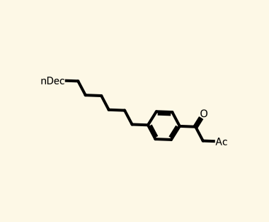 CCCCCCCCCCCCCCCCc1ccc(C(=O)CC(C)=O)cc1